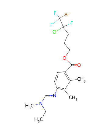 CCN(C)/C=N/c1ccc(C(=O)OCCCC(F)(Cl)C(F)(F)Br)c(C)c1C